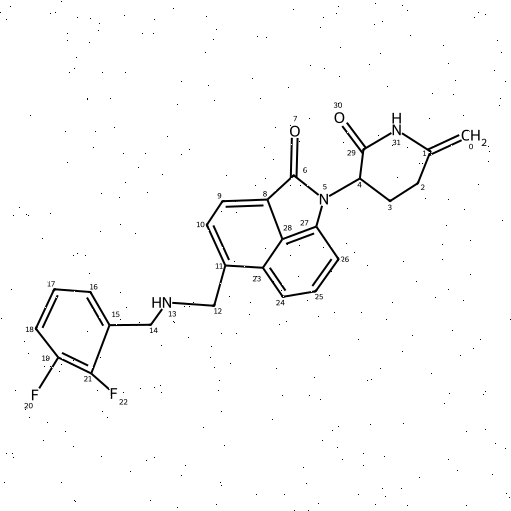 C=C1CCC(N2C(=O)c3ccc(CNCc4cccc(F)c4F)c4cccc2c34)C(=O)N1